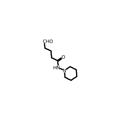 O=CCCCC(=O)NN1CCCCC1